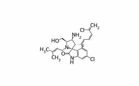 C=C(Cl)/C=C\C=C(/F)[C@H]1[C@H](N)[C@H](CO)N(CC=C(C)C)[C@@]12C(=O)Nc1cc(Cl)ccc12